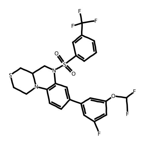 O=S(=O)(c1cccc(C(F)(F)F)c1)N1CC2CSCCN2c2ccc(-c3cc(F)cc(OC(F)F)c3)cc21